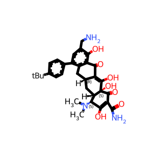 CN(C)[C@@H]1C(O)=C(C(N)=O)C(=O)[C@@]2(O)C(O)=C3C(=O)c4c(O)c(CN)cc(-c5ccc(C(C)(C)C)cc5)c4C[C@H]3C[C@@H]12